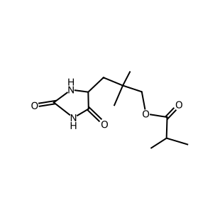 CC(C)C(=O)OCC(C)(C)CC1NC(=O)NC1=O